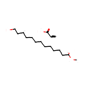 C=CC(=O)O.COC(O)CCCCCCCCCCCCO